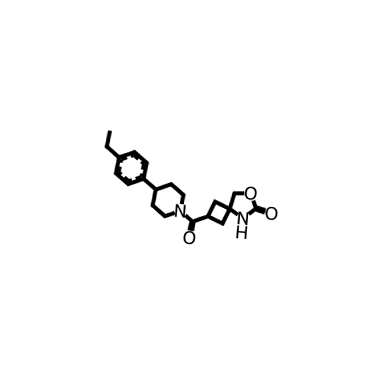 CCc1ccc(C2CCN(C(=O)C3CC4(COC(=O)N4)C3)CC2)cc1